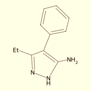 CCc1n[nH]c(N)c1-c1ccccc1